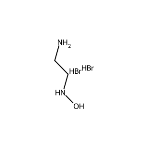 Br.Br.NCCNO